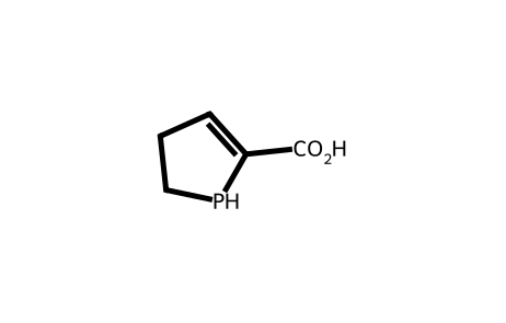 O=C(O)C1=CCCP1